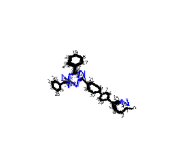 Cc1ccc(-c2ccc(-c3ccc(-c4nc(-c5ccccc5)nc(-c5ccccc5)n4)cc3)cc2)cn1